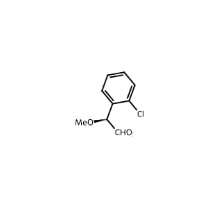 CO[C@H]([C]=O)c1ccccc1Cl